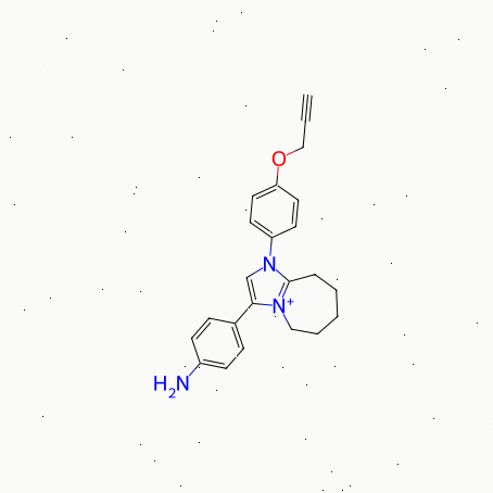 C#CCOc1ccc(-n2cc(-c3ccc(N)cc3)[n+]3c2CCCCC3)cc1